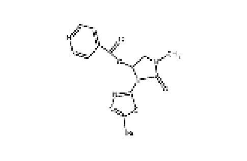 CN1CC(OC(=O)c2ccncc2)N(c2nnc(C(C)(C)C)s2)C1=O